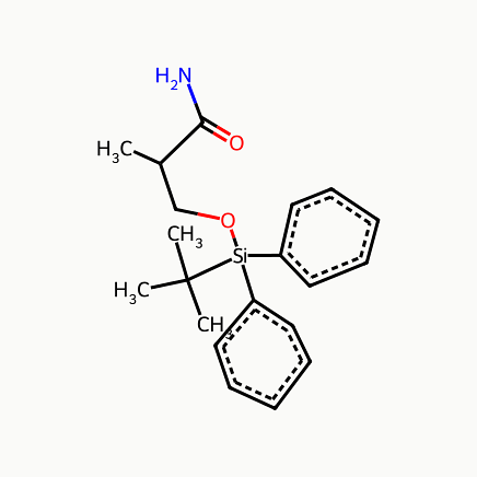 CC(CO[Si](c1ccccc1)(c1ccccc1)C(C)(C)C)C(N)=O